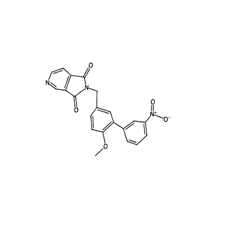 COc1ccc(CN2C(=O)c3ccncc3C2=O)cc1-c1cccc([N+](=O)[O-])c1